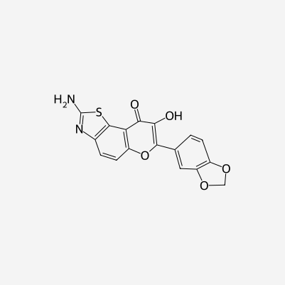 Nc1nc2ccc3oc(-c4ccc5c(c4)OCO5)c(O)c(=O)c3c2s1